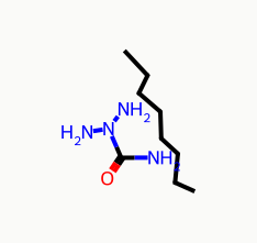 CCCCCCCC.NC(=O)N(N)N